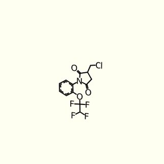 O=C1CC(CCl)C(=O)N1c1ccccc1OC(F)(F)C(F)F